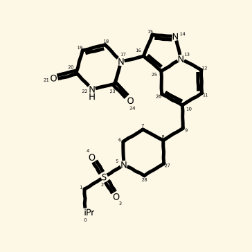 CC(C)CS(=O)(=O)N1CCC(Cc2ccn3ncc(-n4ccc(=O)[nH]c4=O)c3c2)CC1